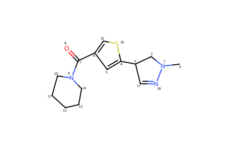 CN1CC(c2cc(C(=O)N3CCCCC3)cs2)C=N1